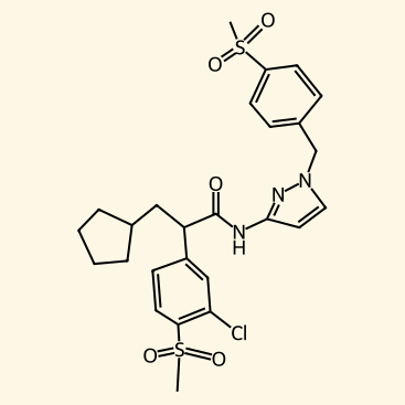 CS(=O)(=O)c1ccc(Cn2ccc(NC(=O)C(CC3CCCC3)c3ccc(S(C)(=O)=O)c(Cl)c3)n2)cc1